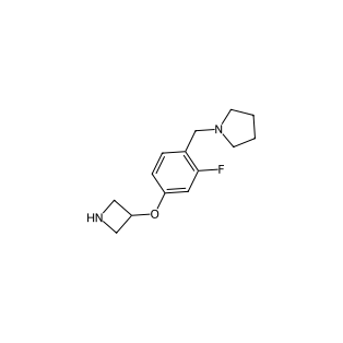 Fc1cc(OC2CNC2)ccc1CN1CCCC1